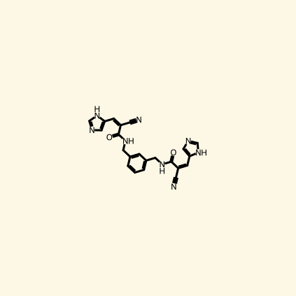 N#C/C(=C/c1cnc[nH]1)C(=O)NCc1cccc(CNC(=O)/C(C#N)=C\c2cnc[nH]2)c1